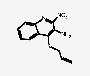 C=CCSc1c(N)c([N+](=O)[O-])nc2ccccc12